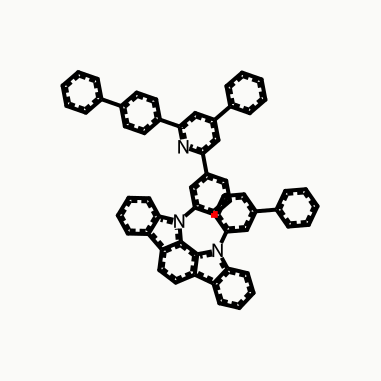 c1ccc(-c2ccc(-c3cc(-c4ccccc4)cc(-c4cccc(-n5c6ccccc6c6ccc7c8ccccc8n(-c8cccc(-c9ccccc9)c8)c7c65)c4)n3)cc2)cc1